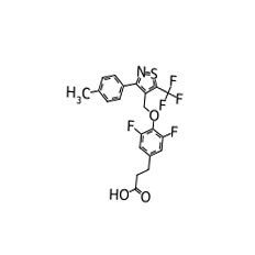 Cc1ccc(-c2nsc(C(F)(F)F)c2COc2c(F)cc(CCC(=O)O)cc2F)cc1